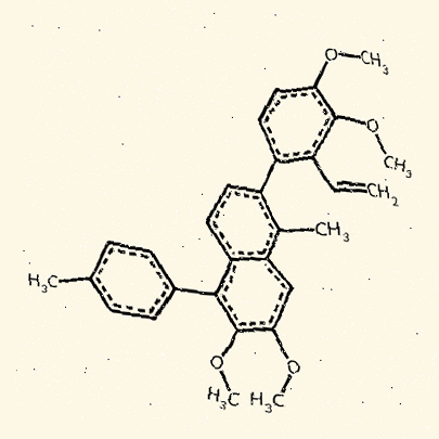 C=Cc1c(-c2ccc3c(-c4ccc(C)cc4)c(OC)c(OC)cc3c2C)ccc(OC)c1OC